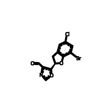 O=Cc1ncoc1[C@H]1Cc2cc(Cl)cc(Br)c2O1